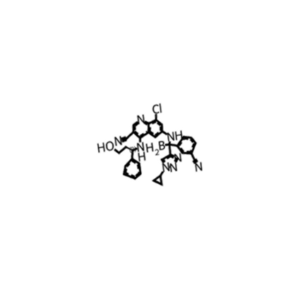 BC(Nc1cc(Cl)c2ncc(C#N)c(N[C@H](CCO)c3ccccc3)c2c1)(c1cccc(C#N)c1)c1cn(C2CC2)nn1